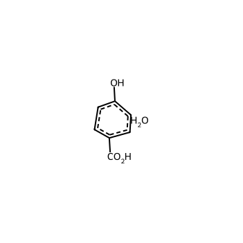 O.O=C(O)c1ccc(O)cc1